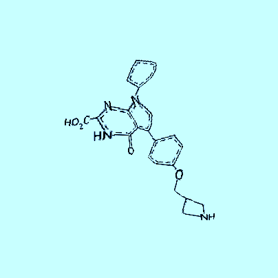 O=C(O)c1nc2c(c(-c3ccc(OCC4CNC4)cc3)cn2-c2ccccc2)c(=O)[nH]1